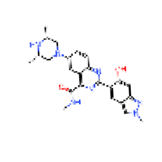 CNC(=O)c1nc(-c2cc3cn(C)nc3cc2O)nc2ccc(N3C[C@H](C)N[C@@H](C)C3)cc12